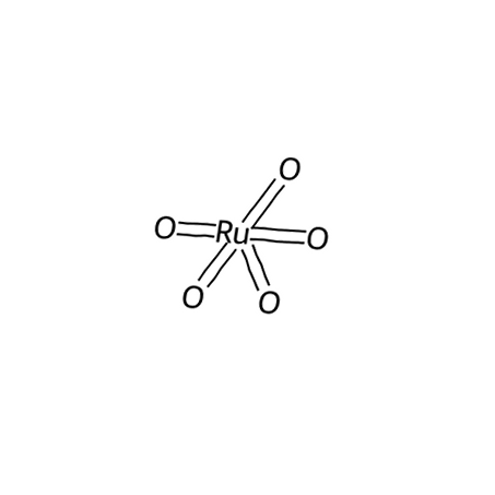 [O]=[Ru](=[O])(=[O])(=[O])=[O]